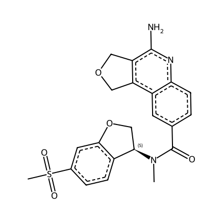 CN(C(=O)c1ccc2nc(N)c3c(c2c1)COC3)[C@@H]1COc2cc(S(C)(=O)=O)ccc21